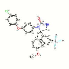 COc1ccc(CC2(c3cccc(C(F)(F)F)c3)CNC(=O)N2c2ccc(Oc3ccc(Cl)cc3)cc2)cc1